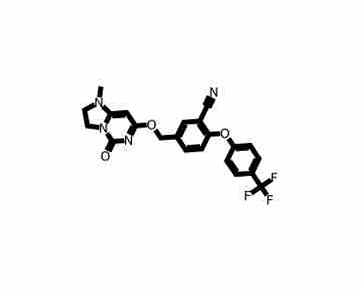 CN1CCn2c1cc(OCc1ccc(Oc3ccc(C(F)(F)F)cc3)c(C#N)c1)nc2=O